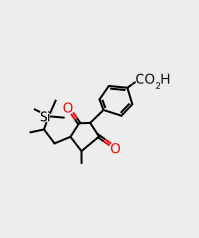 CC1C(=O)C(c2ccc(C(=O)O)cc2)C(=O)C1CC(C)[Si](C)(C)C